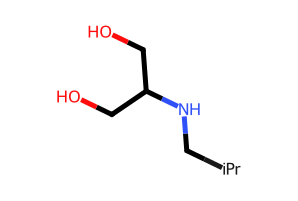 CC(C)CNC(CO)CO